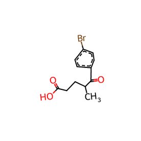 CC(CCC(=O)O)C(=O)c1ccc(Br)cc1